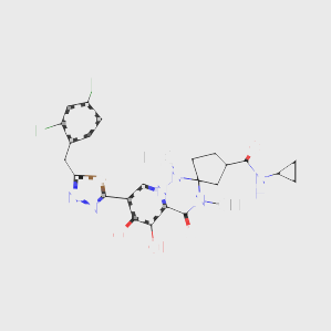 CN1C(=O)c2c(O)c(=O)c(-c3nnc(Cc4ccc(F)cc4F)s3)cn2N(C)C12CCC(C(=O)NC1CC1)C2